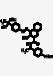 CCCCCCc1ccc(N(C)NC(=O)c2cc3ccccc3c(N=Nc3ccc(C(N)(CCC)CCCC)cc3)c2O)cc1